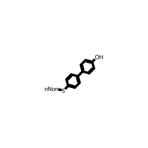 CCCCCCCCCSc1ccc(-c2ccc(O)cc2)cc1